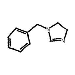 [C]1=NCCN1Cc1ccccc1